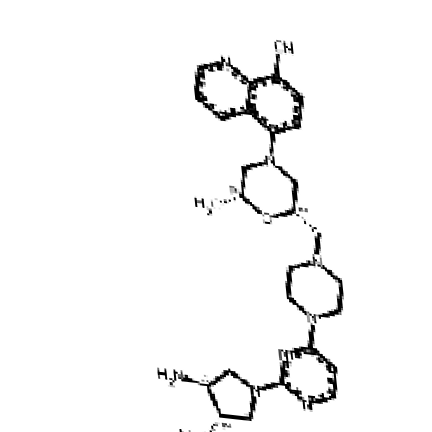 CO[C@H]1CN(c2nccc(N3CCN(C[C@H]4CN(c5ccc(C#N)c6ncccc56)C[C@@H](C)O4)CC3)n2)C[C@@H]1N